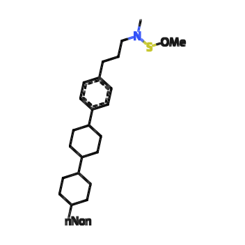 CCCCCCCCCC1CCC(C2CCC(c3ccc(CCCN(C)SOC)cc3)CC2)CC1